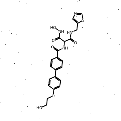 O=C(NC(C(=O)NO)C(=O)NCc1cncs1)c1ccc(-c2ccc(OCCO)cc2)cc1